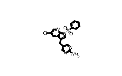 Nc1ncc(Cc2cn(S(=O)(=O)c3ccccc3)c3ncc(Cl)cc23)cn1